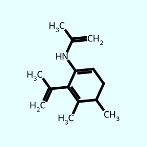 C=C(C)NC1=CCC(C)C(C)=C1C(=C)C